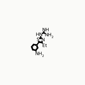 CCc1nc(NC(=N)N)sc1-c1cccc(N)c1